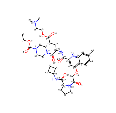 CCOC(=O)N1CCN(C(=O)[C@H](CCC(=O)OCCN(C)C)NC(=O)c2cc(OCC(=O)N3CCC[C@H]3C(=O)NC3CCC3)c3ccc(C)cc3n2)CC1